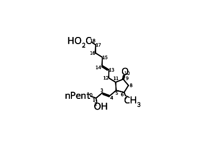 CCCCCC(O)C=CC1C(C)CC(=O)C1CC=CCCCC(=O)O